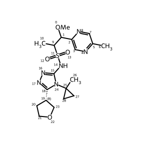 COC(c1cnc(C)cn1)C(C)S(=O)(=O)Nc1nnc([C@H]2CCOC2)n1C1(C)CC1